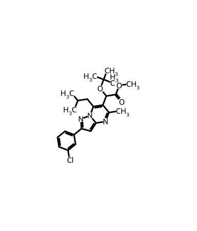 COC(=O)C(OC(C)(C)C)c1c(C)nc2cc(-c3cccc(Cl)c3)nn2c1CC(C)C